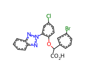 O=C(O)C(Oc1ccc(Cl)cc1-n1nc2ccccc2n1)c1cccc(Br)c1